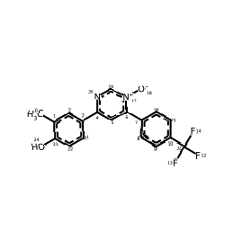 Cc1cc(-c2cc(-c3ccc(C(F)(F)F)cc3)[n+]([O-])cn2)ccc1O